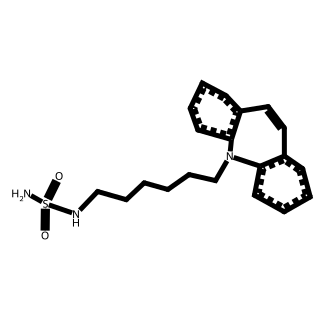 NS(=O)(=O)NCCCCCCN1c2ccccc2C=Cc2ccccc21